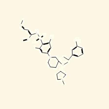 C=N/C(=C\C=N/C)NS(=O)(=O)c1c(F)cc(N2CCC[C@](CCc3cccc(C(F)(F)F)c3)(N(C)[C@H]3CCN(C)C3)C2)cc1F